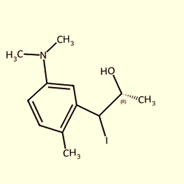 Cc1ccc(N(C)C)cc1C(I)[C@@H](C)O